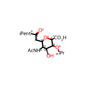 CCCC(C)C(=O)CC1OC(C(=O)O)C(OC(C)C)C(O)C1NC(C)=O